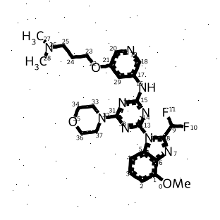 COc1cccc2c1nc(C(F)F)n2-c1nc(Nc2cncc(OCCCN(C)C)c2)nc(N2CCOCC2)n1